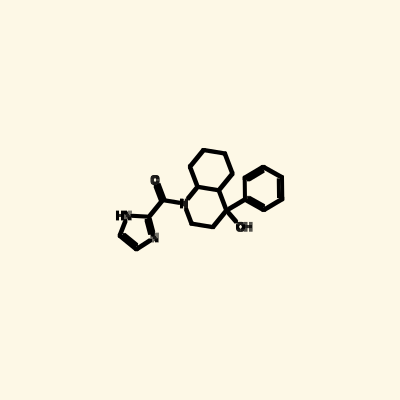 O=C(c1ncc[nH]1)N1CCC(O)(c2ccccc2)C2CCCCC21